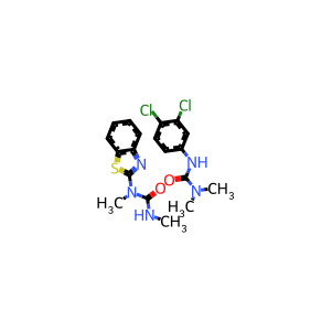 CN(C)C(=O)Nc1ccc(Cl)c(Cl)c1.CNC(=O)N(C)c1nc2ccccc2s1